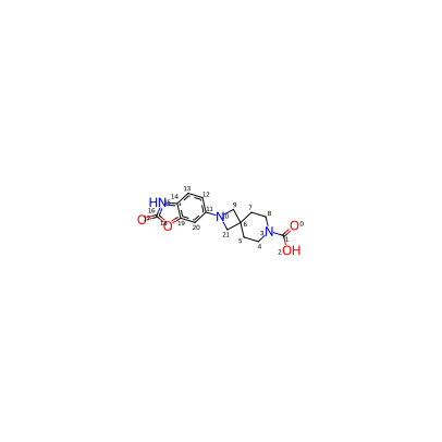 O=C(O)N1CCC2(CC1)CN(c1ccc3[nH]c(=O)oc3c1)C2